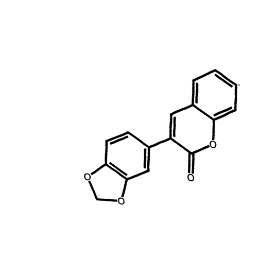 O=c1oc2c[c]ccc2cc1-c1ccc2c(c1)OCO2